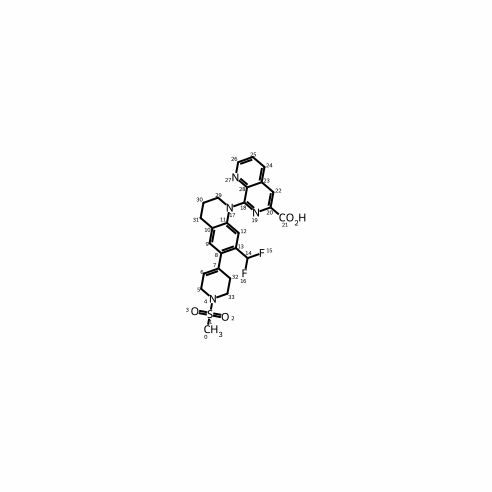 CS(=O)(=O)N1CC=C(c2cc3c(cc2C(F)F)N(c2nc(C(=O)O)cc4cccnc24)CCC3)CC1